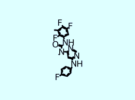 Cc1c(F)c(F)cc(NC(=O)N(C)c2cc(Nc3ccc(F)cc3)ncn2)c1F